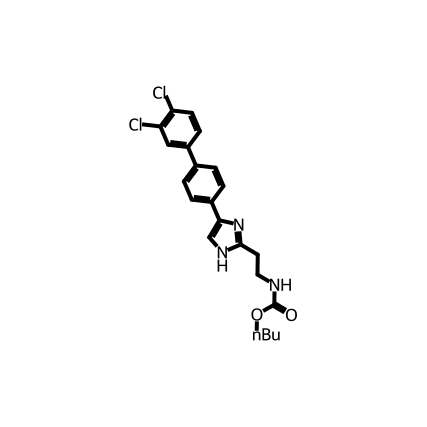 CCCCOC(=O)NCCc1nc(-c2ccc(-c3ccc(Cl)c(Cl)c3)cc2)c[nH]1